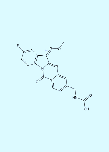 CO/N=C1/c2cc(F)ccc2-n2c1nc1cc(CNC(=O)O)ccc1c2=O